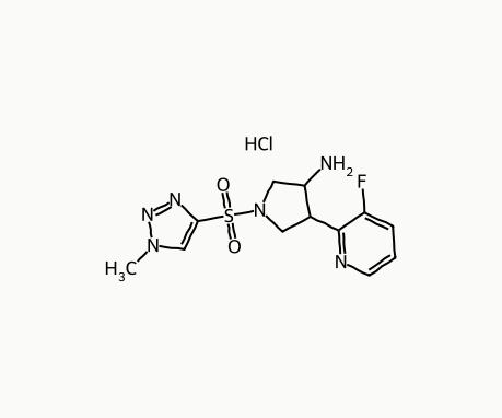 Cl.Cn1cc(S(=O)(=O)N2CC(N)C(c3ncccc3F)C2)nn1